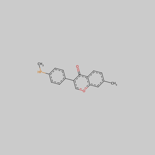 CPc1ccc(-c2coc3cc(C)ccc3c2=O)cc1